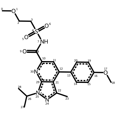 COCCS(=O)(=O)NC(=O)c1cc(-c2ccc(OC)cc2)c2c(C)nn(C(C)C)c2n1